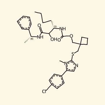 CCCC[C@H](NC(=O)OCC1(CSc2ncc(-c3ccc(Cl)cc3)n2C)CCC1)C(O)C(=O)N[C@H](C)c1ccccc1